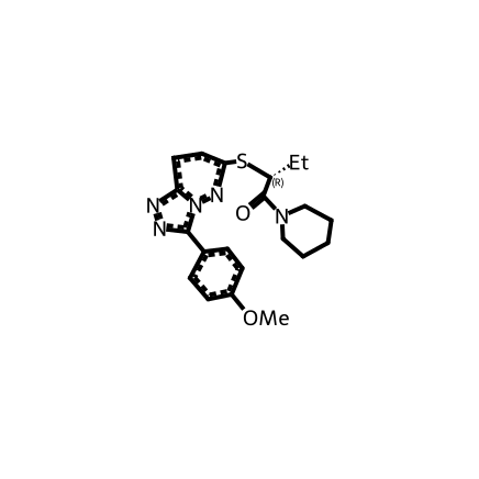 CC[C@@H](Sc1ccc2nnc(-c3ccc(OC)cc3)n2n1)C(=O)N1CCCCC1